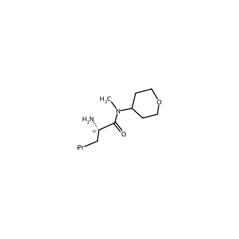 CC(C)C[C@H](N)C(=O)N(C)C1CCOCC1